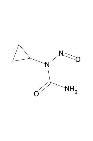 NC(=O)N(N=O)C1CC1